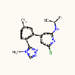 CCC(C#N)Nc1cc(-c2cc(C(F)(F)F)ccc2-c2nncn2C)cc(Cl)n1